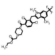 CCOC(=O)CN1CCN(C(=O)c2ccc(Cl)c(Cc3cc4c(C)cc(C(F)(F)F)cc4n3C)c2Cl)CC1